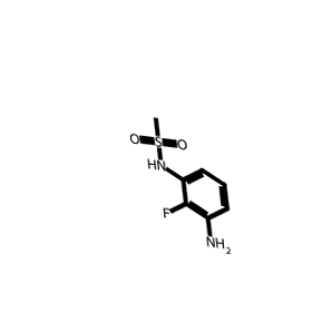 CS(=O)(=O)Nc1cccc(N)c1F